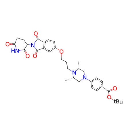 C[C@@H]1CN(c2ccc(C(=O)OC(C)(C)C)cc2)C[C@H](C)N1CCCOc1ccc2c(c1)C(=O)N(C1CCC(=O)NC1=O)C2=O